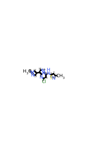 Cc1cc(Nc2cc(Cl)nc3c(-c4cnn(C)c4)cnn23)sn1